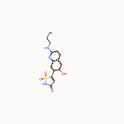 CC(C)CCNc1ccc2cc(O)c(C3=CC(=O)NS3(=O)=O)cc2n1